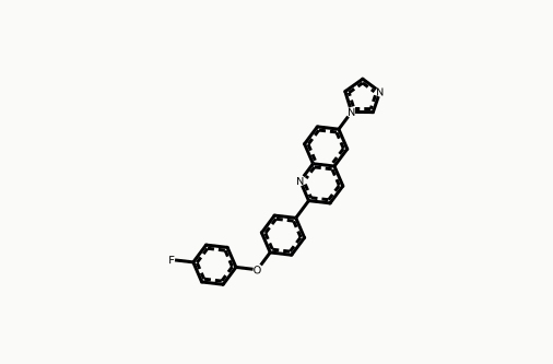 Fc1ccc(Oc2ccc(-c3ccc4cc(-n5ccnc5)ccc4n3)cc2)cc1